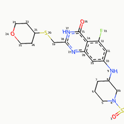 CS(=O)(=O)N1CCCC(Nc2cc(F)c3c(=O)[nH]c(CSC4CCOCC4)nc3c2)C1